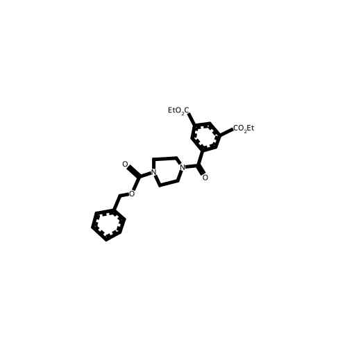 CCOC(=O)c1cc(C(=O)OCC)cc(C(=O)N2CCN(C(=O)OCc3ccccc3)CC2)c1